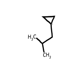 CC(C)C[C]1CC1